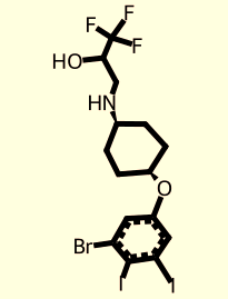 OC(CN[C@H]1CC[C@@H](Oc2cc(Br)c(I)c(I)c2)CC1)C(F)(F)F